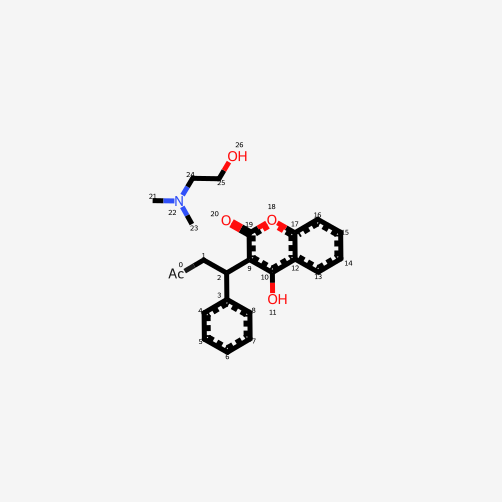 CC(=O)CC(c1ccccc1)c1c(O)c2ccccc2oc1=O.CN(C)CCO